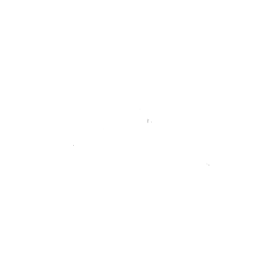 O=C(NCc1ccc2[nH]ccc2c1)c1ccc2c(c1)CCN(C1CCC1)CC2